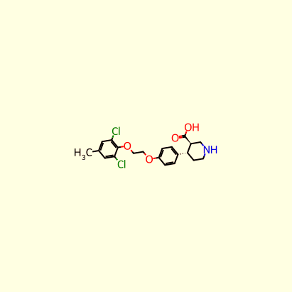 Cc1cc(Cl)c(OCCOc2ccc([C@H]3CCNC[C@@H]3C(=O)O)cc2)c(Cl)c1